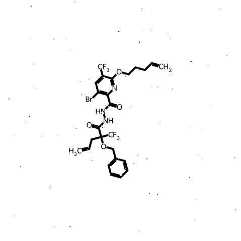 C=CCCCOc1nc(C(=O)NNC(=O)C(CC=C)(OCc2ccccc2)C(F)(F)F)c(Br)cc1C(F)(F)F